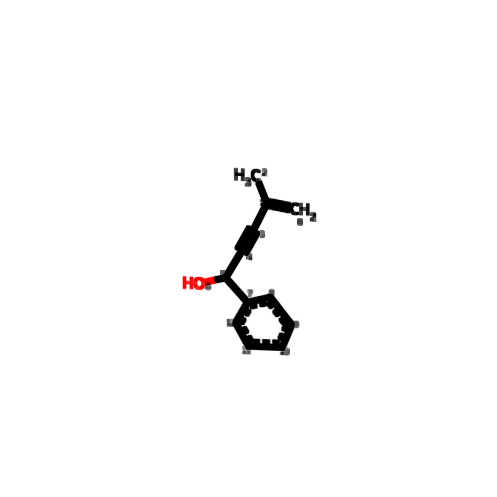 C=C(C)C#CC(O)c1ccccc1